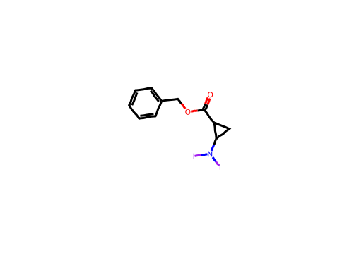 O=C(OCc1ccccc1)C1CC1N(I)I